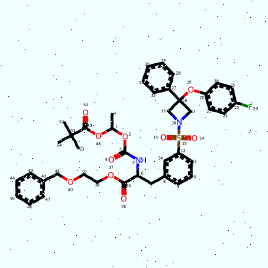 CC(OC(=O)NC(Cc1cccc(S(=O)(=O)N2CC(Oc3ccc(F)cc3)(c3ccccc3)C2)c1)C(=O)OCCOCc1ccccc1)OC(=O)C(C)(C)C